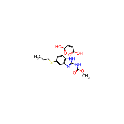 CCCSc1ccc2[nH]c(NC(=O)OC)nc2c1.O=C(O)/C=C\C(=O)O